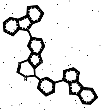 C1=Nc2c(sc3ccc(-n4c5ccccc5c5ccccc54)cc23)C(c2cccc(-c3cccc4c3sc3ccccc34)c2)N1